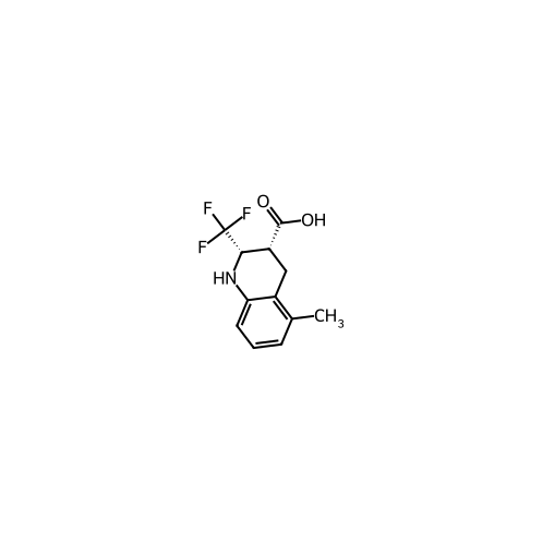 Cc1cccc2c1C[C@@H](C(=O)O)[C@@H](C(F)(F)F)N2